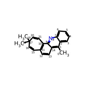 Cc1c2ccccc2nc2c3c(ccc12)C=CC(C)(C)C=C3